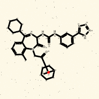 Cc1cccc2c1N(CC(=O)N1CC3CCC(CC3)C1)C(=O)C(NC(=O)Nc1cccc(-c3nnn[nH]3)c1)N=C2C1CCCCC1